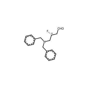 O=CC[C@@H](F)CN(Cc1ccccc1)Cc1ccccc1